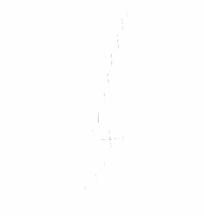 CCCCCCCCCOCC1COC(C)(COCCOS(=O)(=O)O)O1